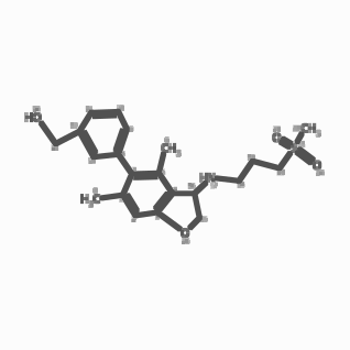 Cc1cc2c(c(C)c1-c1cccc(CO)c1)C(NCCCS(C)(=O)=O)CO2